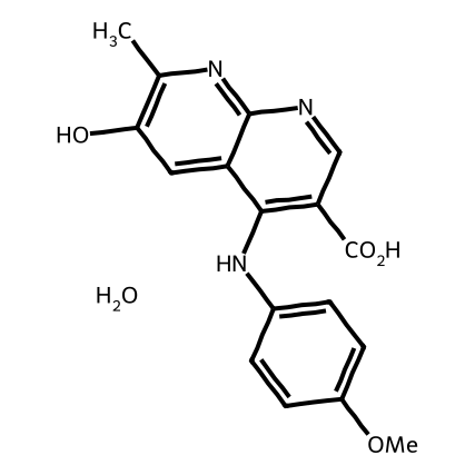 COc1ccc(Nc2c(C(=O)O)cnc3nc(C)c(O)cc23)cc1.O